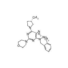 C[C@H]1CCN(c2nc(N3CCOCC3)nc(N(N)Cc3ccccc3C(F)(F)F)c2N)C1